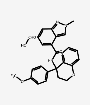 Cn1cc2c(C(=O)NC3(c4ccc(OC(F)(F)F)cc4)CCOc4cccnc43)cccc2n1.O=CO